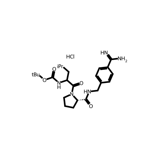 CC(C)CC(NC(=O)OC(C)(C)C)C(=O)N1CCC[C@H]1C(=O)NCc1ccc(C(=N)N)cc1.Cl